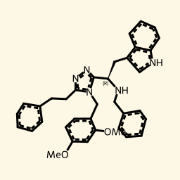 COc1ccc(Cn2c(CCc3ccccc3)nnc2[C@@H](Cc2c[nH]c3ccccc23)NCc2ccccc2)c(OC)c1